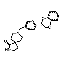 O=C1NCCC12CCN(Cc1ccc([C@H]3COc4ccccc4O3)cc1)CC2